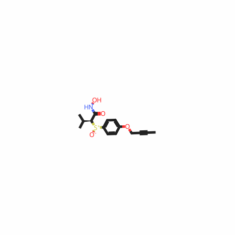 CC#CCOc1ccc([S+]([O-])[C@H](C(=O)NO)C(C)C)cc1